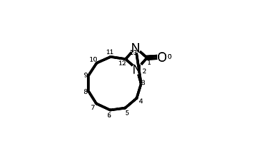 O=C1N2C3CCCCCCCCC2N13